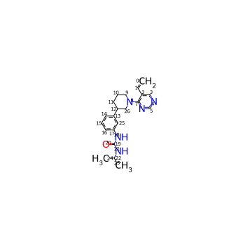 C=Cc1cncnc1N1CCCC(c2cccc(NC(=O)NC(C)C)c2)C1